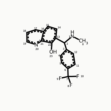 CNC(c1ccc(C(F)(F)F)cc1)c1ccc2cccnc2c1O